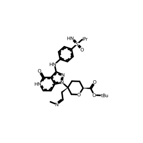 C/N=C\C[C@@]1(n2nc(Nc3ccc(S(=N)(=O)C(C)C)cc3)c3c(=O)[nH]ccc32)CC[C@@H](C(=O)OC(C)(C)C)OC1